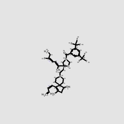 C=C/C=C\C1=C(C)CC(O)C12CCN(CC[C@@]1(/C(C)=C/C=C(/F)CC)CN(C(=O)c3cc(C(F)(F)F)cc(C(F)(F)F)c3)CO1)CC2